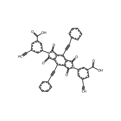 C#Cc1cc(C(=O)O)cc(-n2c(=O)c3c(C#Cc4ccccc4)c4c(=O)n(-c5cc(C#C)cc(C(=O)O)c5)c(=O)c4c(C#Cc4ccccc4)c3c2=O)c1